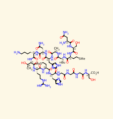 CC[C@H](C)[C@H](NC(=O)[C@H](CCSC)NC(=O)[C@H](CO)NC(=O)[C@@H](N)CC(N)=O)C(=O)N[C@@H](C)C(=O)N[C@@H](Cc1c[nH]cn1)C(=O)N[C@@H](CC(N)=O)C(=O)N[C@@H](CCCCN)C(=O)N[C@H](C(=O)N[C@@H](CCCNC(=N)N)C(=O)N[C@@H](CCSC)C(=O)N[C@@H](Cc1c[nH]cn1)C(=O)NCC(=O)NCC(=O)NCC(=O)N[C@@H](CO)C(=O)O)[C@@H](C)O